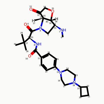 CN[C@H]1CN(C(=O)[C@@H](NC(=O)c2ccc(N3CCN(C4CCC4)CC3)cc2)C(C)(C)C)[C@@H]2C(=O)CO[C@H]12